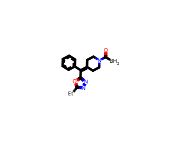 BC(=O)N1CCC(=C(c2ccccc2)c2nnc(CC)o2)CC1